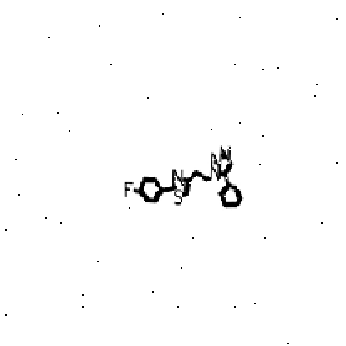 Fc1ccc(-c2nc(CCn3nncc3-c3ccccc3)cs2)cc1